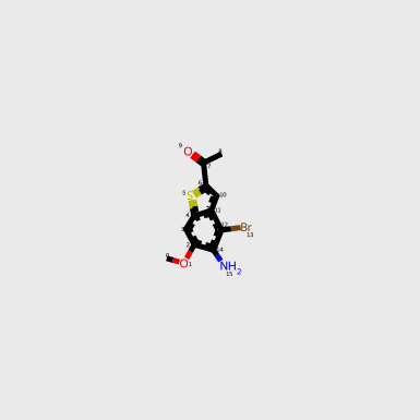 COc1cc2sc(C(C)=O)cc2c(Br)c1N